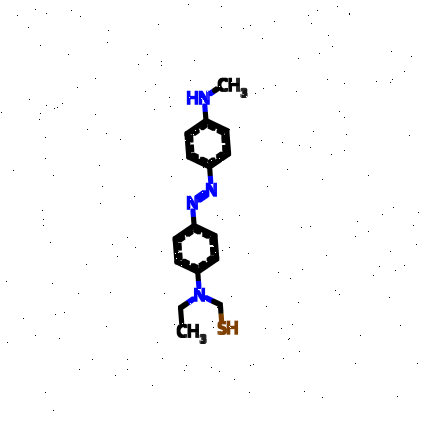 CCN(CS)c1ccc(/N=N/c2ccc(NC)cc2)cc1